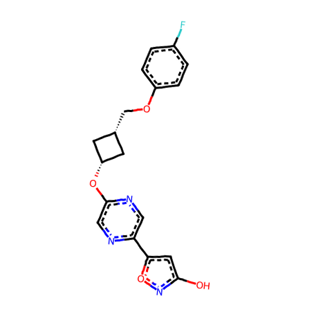 Oc1cc(-c2cnc(O[C@H]3C[C@@H](COc4ccc(F)cc4)C3)cn2)on1